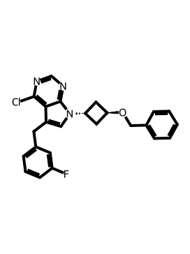 Fc1cccc(Cc2cn([C@H]3C[C@H](OCc4ccccc4)C3)c3ncnc(Cl)c23)c1